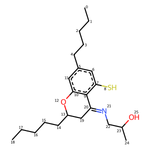 CCCCCc1cc(S)c2c(c1)OC(CCCCC)CC2=NCC(C)O